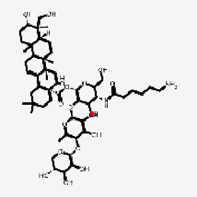 CC1O[C@@H](OC2C(O)[C@@H](NC(=O)CCCCCN)C(CO)O[C@H]2OC(=O)[C@]23CCC(C)(C)CC2C2=CCC4C5(C)CC[C@H](O)[C@](C)(CO)[C@@H]5CC[C@]4(C)[C@]2(C)CC3O)C(O)C(O)[C@H]1O[C@@H]1OC[C@@H](O)C(O)C1O